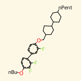 CCCCCC1CCC(C2CCC(COc3ccc(-c4ccc(OCCCC)c(F)c4F)cc3F)CC2)CC1